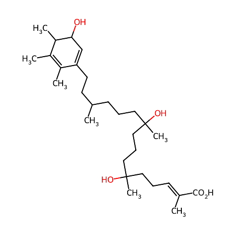 CC1=C(C)C(C)C(O)C=C1CCC(C)CCCC(C)(O)CCCC(C)(O)CC/C=C(\C)C(=O)O